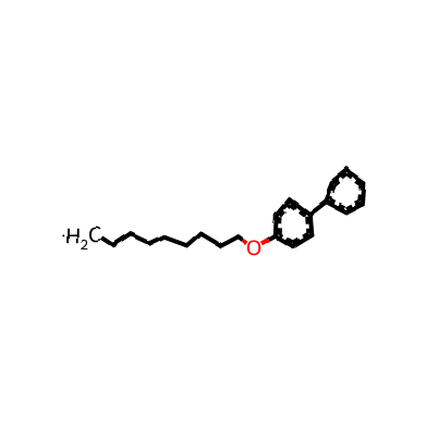 [CH2]CCCCCCCCOc1ccc(-c2ccccc2)cc1